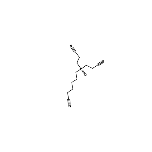 N#CCCCCCP(=O)(CCC#N)CCC#N